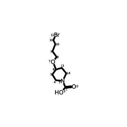 O=C(O)N1CCC(OCCCCBr)CC1